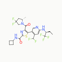 CC[C@H](Nc1cc(C(F)F)c(-c2sc(C(=O)NC3CCC3)nc2C(=O)N2CC(F)(F)C[C@@H]2C)cn1)C(F)(F)F